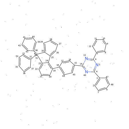 c1ccc(-c2nc(-c3ccccc3)nc(-c3ccc(-c4cccc5c4-c4ccccc4[Si]5(c4ccccc4)c4ccccc4)cc3)n2)cc1